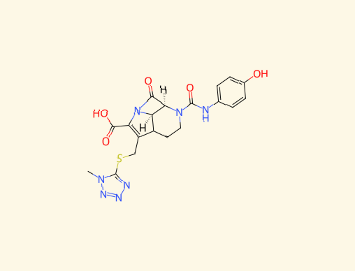 Cn1nnnc1SCC1=C(C(=O)O)N2C(=O)[C@@H]3[C@H]2C1CCN3C(=O)Nc1ccc(O)cc1